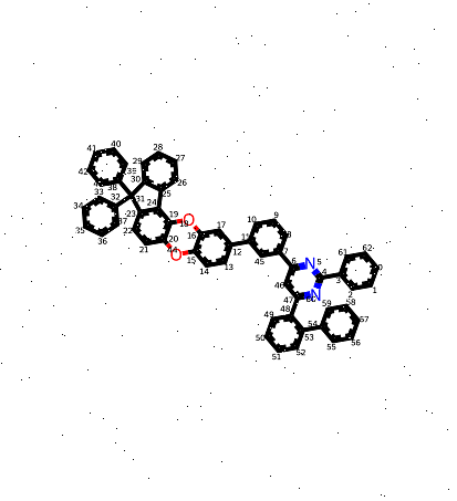 c1ccc(-c2nc(-c3cccc(-c4ccc5c(c4)Oc4c(ccc6c4-c4ccccc4C6(c4ccccc4)c4ccccc4)O5)c3)cc(-c3ccccc3-c3ccccc3)n2)cc1